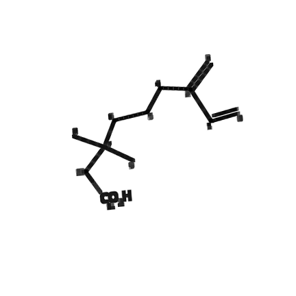 C=CC(=C)CCCC(C)(C)CC(=O)O